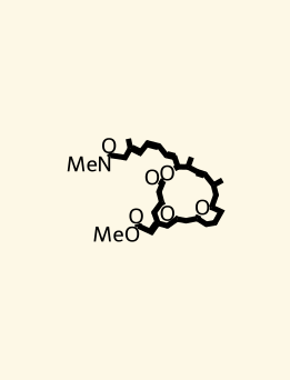 CNC(=O)C/C(C)=C/C=C\C=C\C1OC(=O)CC2C/C(=C\C(=O)OC)CC(CC3CCCC(CC(C)/C=C/C1C)O3)O2